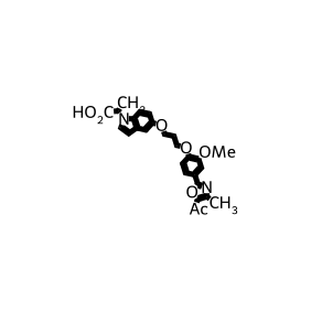 COc1cc(-c2nc(C)c(C(C)=O)o2)ccc1OCCCOc1ccc2c(ccn2C(C)C(=O)O)c1